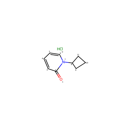 Cl.O=c1ccccn1C1CCC1